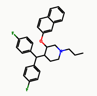 CCCN1CCC(C(c2ccc(F)cc2)c2ccc(F)cc2)C(Oc2ccc3ccccc3c2)C1